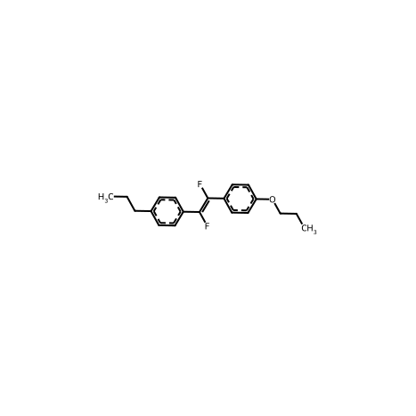 CCCOc1ccc(/C(F)=C(\F)c2ccc(CCC)cc2)cc1